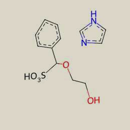 O=S(=O)(O)C(OCCO)c1ccccc1.c1c[nH]cn1